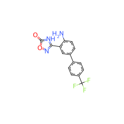 Nc1ccc(-c2ccc(C(F)(F)F)cc2)cc1-c1noc(=O)[nH]1